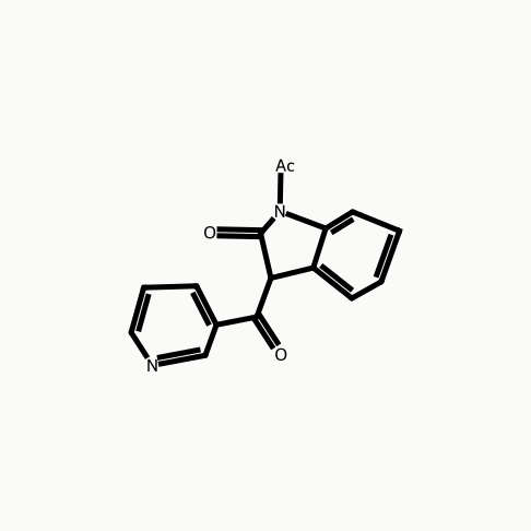 CC(=O)N1C(=O)C(C(=O)c2cccnc2)c2ccccc21